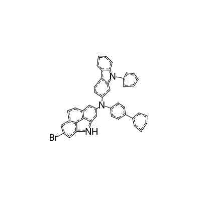 Brc1cc2ccc3cc(N(c4ccc(-c5ccccc5)cc4)c4ccc5c6ccccc6n(-c6ccccc6)c5c4)cc4[nH]c(c1)c2c34